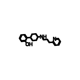 Oc1ccccc1C1CCC(NCCCc2ccccn2)CC1